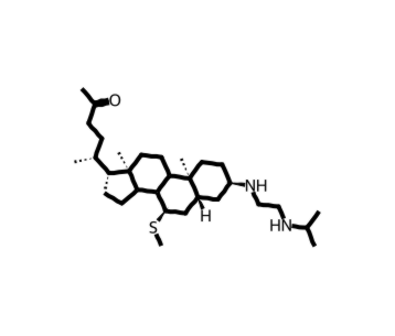 CS[C@@H]1C[C@H]2C[C@H](NCCNC(C)C)CC[C@]2(C)C2CC[C@@]3(C)C(CC[C@@H]3[C@H](C)CCC(C)=O)C21